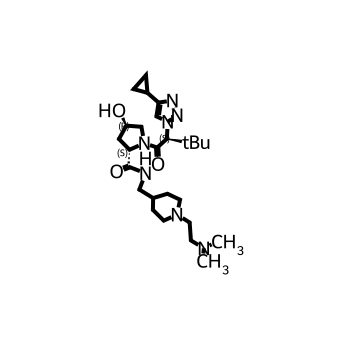 CN(C)CCN1CCC(CNC(=O)[C@@H]2C[C@@H](O)CN2C(=O)[C@@H](n2cc(C3CC3)nn2)C(C)(C)C)CC1